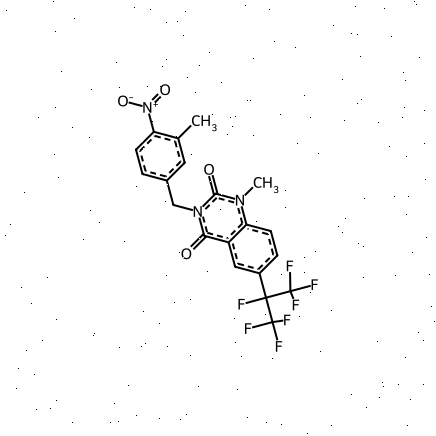 Cc1cc(Cn2c(=O)c3cc(C(F)(C(F)(F)F)C(F)(F)F)ccc3n(C)c2=O)ccc1[N+](=O)[O-]